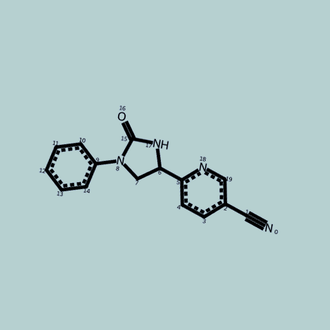 N#Cc1ccc(C2CN(c3ccccc3)C(=O)N2)nc1